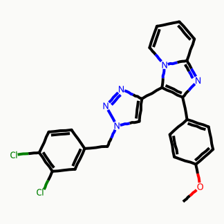 COc1ccc(-c2nc3ccccn3c2-c2cn(Cc3ccc(Cl)c(Cl)c3)nn2)cc1